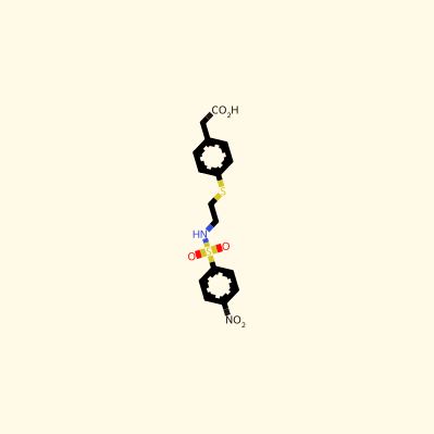 O=C(O)Cc1ccc(SCCNS(=O)(=O)c2ccc([N+](=O)[O-])cc2)cc1